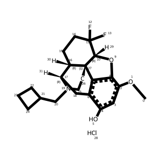 COc1cc(O)c2c3c1O[C@H]1C(F)(F)CC[C@H]4[C@@H](C2)N(CC2CCC2)CC[C@@]341.Cl